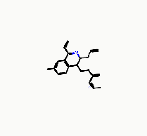 C=CCC1N=C(C=C)c2cc(C)ccc2C1CCC(=C)/C=C\C